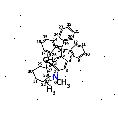 CN1c2ccc([Si](c3ccccc3)(c3ccccc3)c3ccccc3)cc2C2(C)CCCCC12C